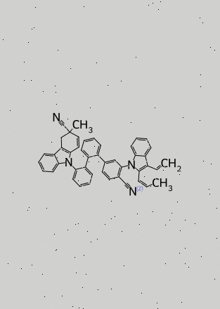 C=Cc1c(/C=C\C)n(-c2cc(-c3ccccc3-c3ccccc3-n3c4c(c5ccccc53)CC(C)(C#N)C=C4)ccc2C#N)c2ccccc12